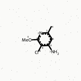 COc1nc(C)cc(N)c1Cl